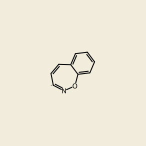 [C]1=NOc2ccccc2C=C1